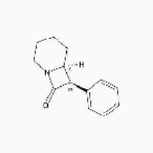 O=C1[C@H](c2ccccc2)[C@@H]2CCCCN12